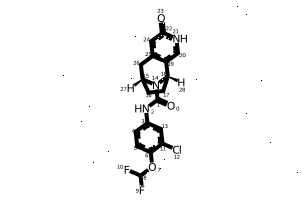 O=C(Nc1ccc(OC(F)F)c(Cl)c1)N1[C@@H]2CC[C@H]1c1c[nH]c(=O)cc1C2